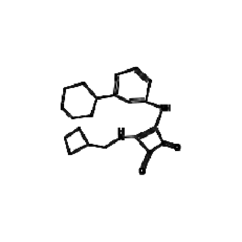 O=c1c(NCC2CCC2)c(Nc2cccc(C3CCCCC3)c2)c1=O